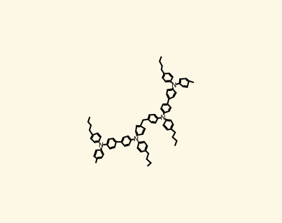 CCCCc1ccc(N(c2ccc(C)cc2)c2ccc(-c3ccc(N(c4ccc(CCCC)cc4)c4ccc(Cc5ccc(N(c6ccc(CCCC)cc6)c6ccc(-c7ccc(N(c8ccc(C)cc8)c8ccc(CCCC)cc8)cc7)cc6)cc5)cc4)cc3)cc2)cc1